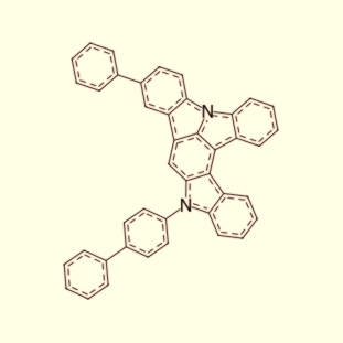 c1ccc(-c2ccc(-n3c4ccccc4c4c5c6ccccc6n6c7ccc(-c8ccccc8)cc7c(cc43)c56)cc2)cc1